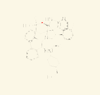 CC1(C)CCC2(CC1)N([C@H](c1ccccc1)[C@@H](O)c1ccccc1Cl)[C@@H](C(=O)N[C@H]1CC[C@H](CO)CC1)[C@H](c1cccc(Cl)c1F)C21C(=O)Nc2ncccc21